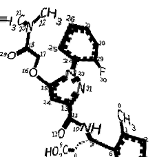 Cc1ccccc1[C@H](CC(=O)O)NC(=O)c1cc(OCC(=O)N(C)C)n(-c2ccccc2F)n1